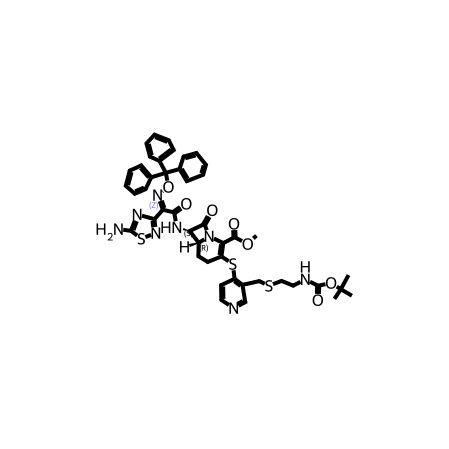 COC(=O)C1=C(Sc2ccncc2CSCCNC(=O)OC(C)(C)C)CC[C@@H]2[C@H](NC(=O)/C(=N\OC(c3ccccc3)(c3ccccc3)c3ccccc3)c3nsc(N)n3)C(=O)N12